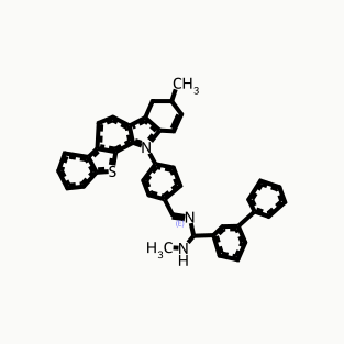 CNC(/N=C/c1ccc(-n2c3c(c4ccc5c6ccccc6sc5c42)CC(C)C=C3)cc1)c1cccc(-c2ccccc2)c1